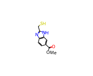 COC(=O)c1ccc2nc(CS)[nH]c2c1